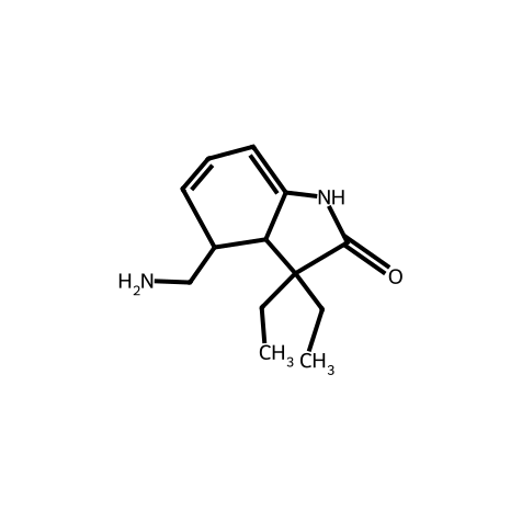 CCC1(CC)C(=O)NC2=CC=CC(CN)C21